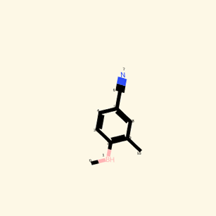 CBc1ccc(C#N)cc1C